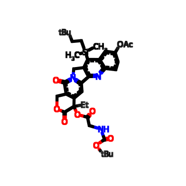 CCC1(OC(=O)CNC(=O)OC(C)(C)C)C(=O)OCc2c1cc1n(c2=O)Cc2c-1nc1ccc(OC(C)=O)cc1c2[Si](C)(C)CCC(C)(C)C